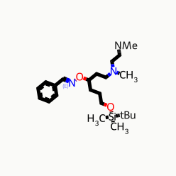 CNCCN(C)CCC(CCCO[Si](C)(C)C(C)(C)C)O/N=C/c1ccccc1